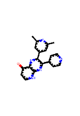 Cc1cc(-c2nc3c(=O)cc[nH]c3nc2-c2ccncc2)cc(C)n1